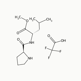 COC(=O)[C@H](CC(C)C)NC(=O)[C@@H]1CCCN1.O=C(O)C(F)(F)F